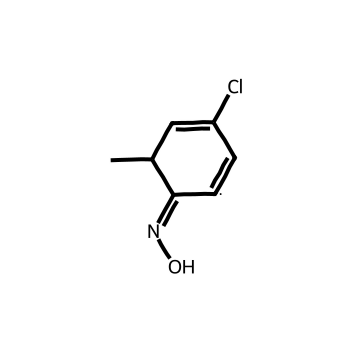 CC1C=C(Cl)C=[C]C1=NO